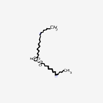 CCCC/C=C\CCCCCCCC(=O)OC[C@H](CO)OC(=O)CCCCCCCCC/C=C\CCCCCC